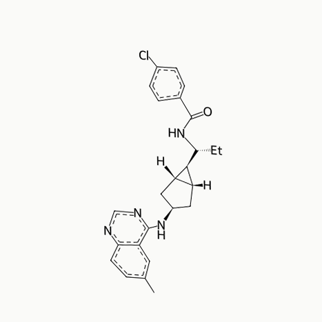 CC[C@@H](NC(=O)c1ccc(Cl)cc1)[C@H]1[C@@H]2C[C@@H](Nc3ncnc4ccc(C)cc34)C[C@@H]21